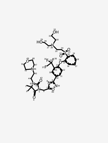 CC1(C)C(=O)N(Cc2nc(-c3ccc(Oc4ccccc4S(=O)(=O)CCN(CCO)CCO)c(C(F)(F)F)c3)no2)C(=O)N1CCN1CCOCC1